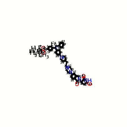 CC/C(=C(\c1ccc(B2OC(C)(C)C(C)(C)O2)cc1)c1ccc(N2CCC(CCN3CCN(c4ccc5c(c4)CN(C4CCC(=O)NC4=O)C5=O)CC3)CC2)cc1)c1ccccc1